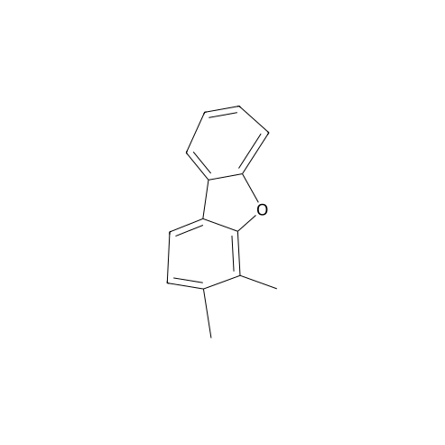 Cc1ccc2c(oc3ccccc32)c1C